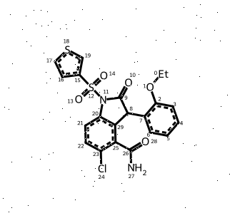 CCOc1ccccc1[C]1C(=O)N(S(=O)(=O)c2ccsc2)c2ccc(Cl)c(C(N)=O)c21